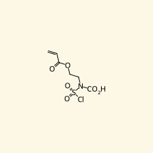 C=CC(=O)OCCN(C(=O)O)S(=O)(=O)Cl